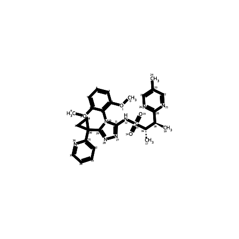 COc1cccc(OC)c1-n1c(NS(=O)(=O)[C@@H](C)[C@H](C)c2ncc(C)cn2)nnc1C1(c2ccccn2)CC1